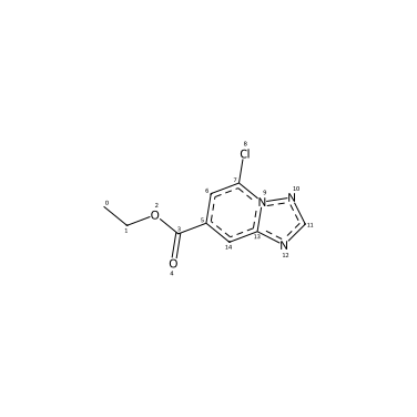 CCOC(=O)c1cc(Cl)n2ncnc2c1